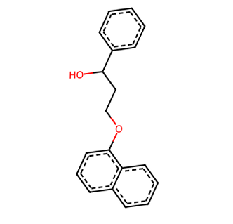 OC(CCOc1cccc2ccccc12)c1ccccc1